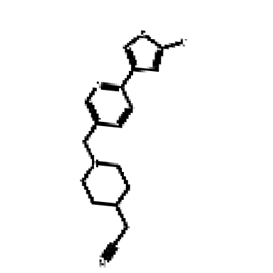 N#CCC1CCN(Cc2ccc(-c3csc(Cl)c3)nc2)CC1